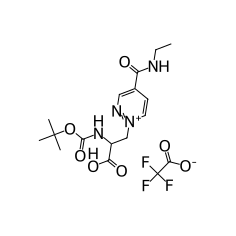 CCNC(=O)c1cc[n+](CC(NC(=O)OC(C)(C)C)C(=O)O)nc1.O=C([O-])C(F)(F)F